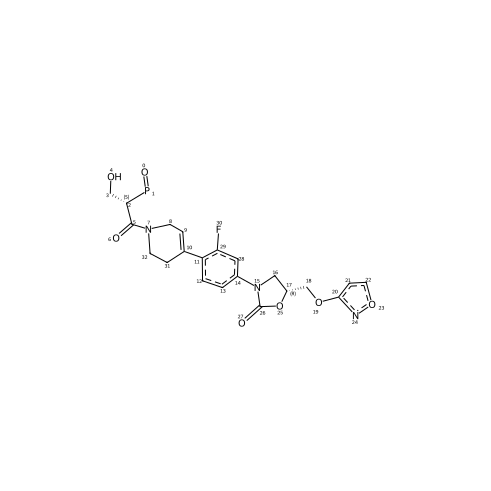 O=P[C@@H](CO)C(=O)N1CC=C(c2ccc(N3C[C@H](COc4ccon4)OC3=O)cc2F)CC1